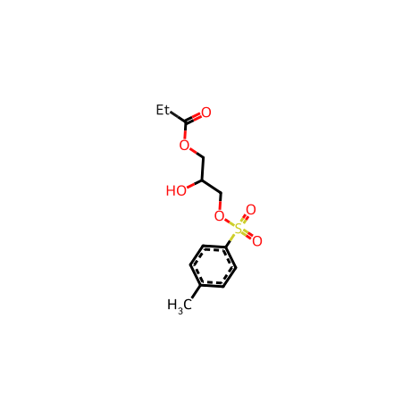 CCC(=O)OCC(O)COS(=O)(=O)c1ccc(C)cc1